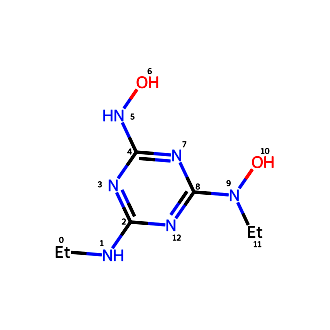 CCNc1nc(NO)nc(N(O)CC)n1